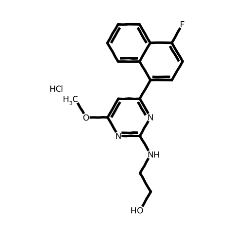 COc1cc(-c2ccc(F)c3ccccc23)nc(NCCO)n1.Cl